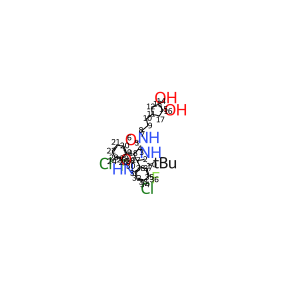 CC(C)(C)C[C@H]1N[C@@H](C(=O)NCCCC2C[C@@H](O)[C@H](O)C2)[C@H](c2cccc(Cl)c2F)[C@@]12C(=O)Nc1cc(Cl)c(F)cc12